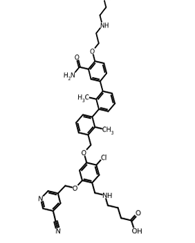 Cc1c(COc2cc(OCc3cncc(C#N)c3)c(CNCCCC(=O)O)cc2Cl)cccc1-c1cccc(-c2ccc(OCCNCCO)c(C(N)=O)c2)c1C